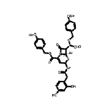 COc1ccc(COC(=O)C2=CC(NC(=O)Cc3ccc(O)cc3O)S[C@@H]3C(N(C=O)OCc4ccc(OC)cc4)C(=O)N23)cc1